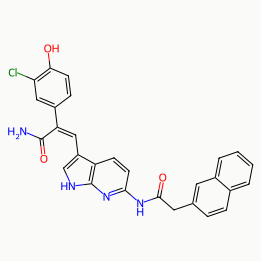 NC(=O)C(=Cc1c[nH]c2nc(NC(=O)Cc3ccc4ccccc4c3)ccc12)c1ccc(O)c(Cl)c1